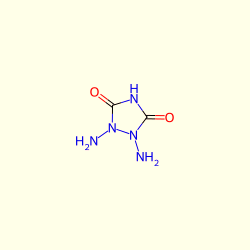 Nn1c(=O)[nH]c(=O)n1N